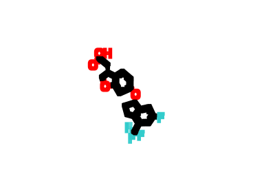 O=C(O)C[C@@H]1COc2cc(O[C@@H]3CCc4c3cc(F)cc4C(F)(F)F)ccc21